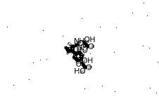 N=C(N)c1sccc1-c1ccccc1.O=C(O)C(=O)O.O=C(O)C(=O)O